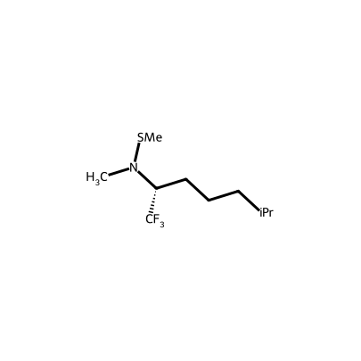 CSN(C)[C@H](CCCC(C)C)C(F)(F)F